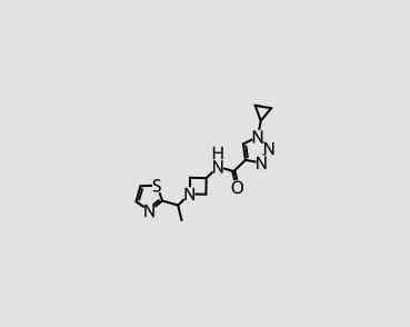 CC(c1nccs1)N1CC(NC(=O)c2cn(C3CC3)nn2)C1